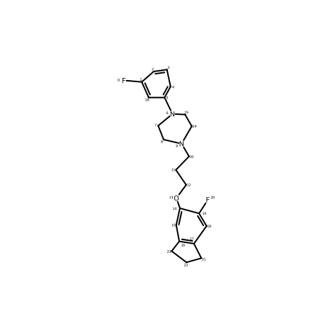 Fc1cccc(N2CCN(CCCOc3cc4c(cc3F)CCC4)CC2)c1